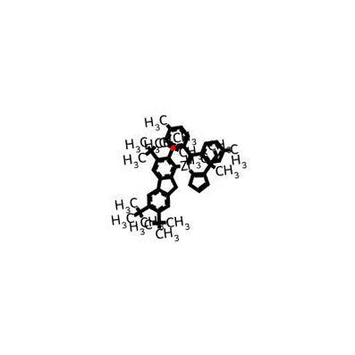 CCC(C)(C)C1=[C]([Zr](=[C](c2ccc(C)cc2)c2ccc(C)cc2)[c]2c3c(cc(C(C)(C)C)c2C(C)(C)C)-c2cc(C(C)(C)C)c(C(C)(C)C)cc2C3)CC=C1